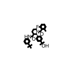 Cc1cccc(F)c1C(=O)N1CCCC(C(=O)Nc2cccc(C(C)(C)C)c2)[C@@H]1c1ccc(C(C)(C)O)cc1